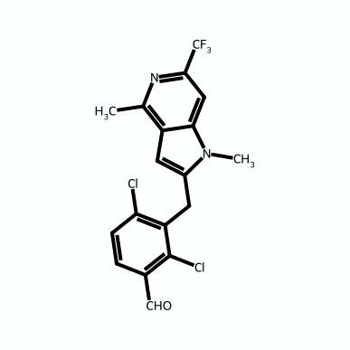 Cc1nc(C(F)(F)F)cc2c1cc(Cc1c(Cl)ccc(C=O)c1Cl)n2C